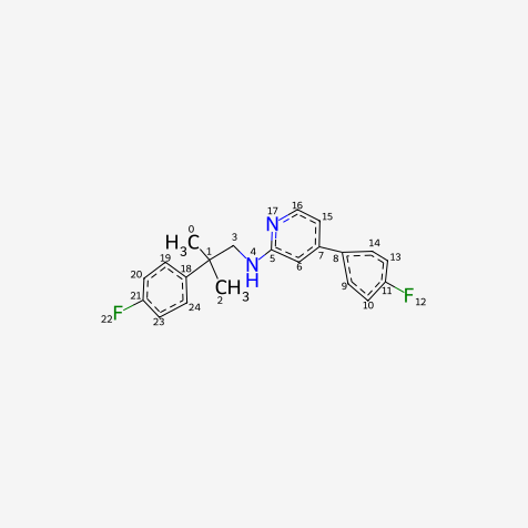 CC(C)(CNc1cc(-c2ccc(F)cc2)ccn1)c1ccc(F)cc1